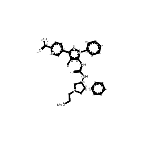 COCCN1C[C@@H](NC(=O)Nc2c(C)c(-c3ccc(C(N)=O)nc3)nn2-c2ccccc2)[C@H](c2ccccc2)C1